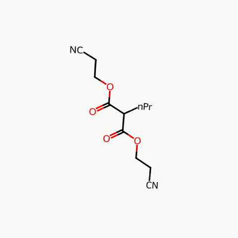 CCCC(C(=O)OCCC#N)C(=O)OCCC#N